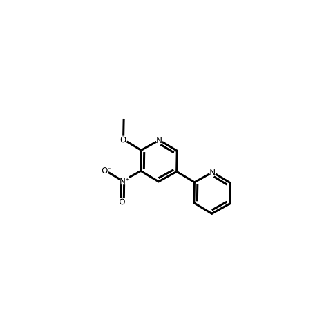 COc1ncc(-c2ccccn2)cc1[N+](=O)[O-]